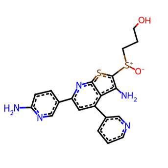 Nc1ccc(-c2cc(-c3cccnc3)c3c(N)c([S+]([O-])CCCO)sc3n2)cn1